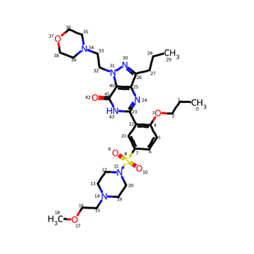 CCCOc1ccc(S(=O)(=O)N2CCN(CCOC)CC2)cc1-c1nc2c(CCC)nn(CCN3CCOCC3)c2c(=O)[nH]1